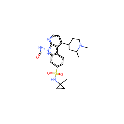 CC1CC(c2ccnc3[nH]c4cc(S(=O)(=O)NC5(C)CC5)ccc4c23)CCN1C.NC=O